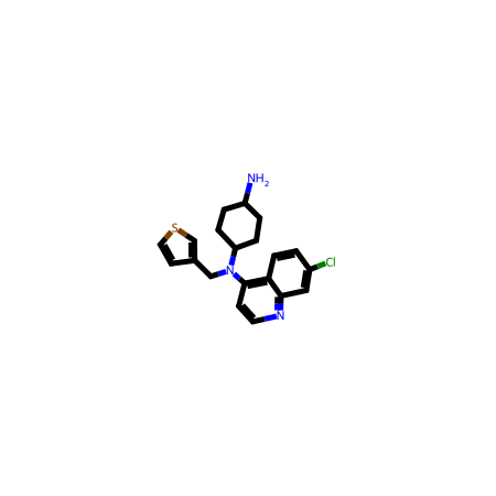 NC1CCC(N(Cc2ccsc2)c2ccnc3cc(Cl)ccc23)CC1